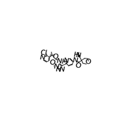 C[C@@H](OC(=O)Nc1c(-c2ccc(NC(=O)C3(C#N)CCOCC3)cn2)nnn1C)c1cccnc1Cl